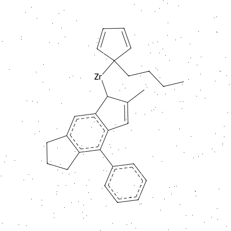 CCCC[C]1([Zr][CH]2C(C)=Cc3c2cc2c(c3-c3ccccc3)CCC2)C=CC=C1